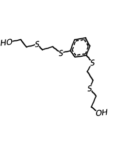 OCCSCCSc1cccc(SCCSCCO)c1